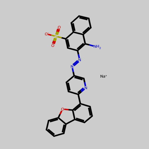 Nc1c(N=Nc2ccc(-c3cccc4c3oc3ccccc34)nc2)cc(S(=O)(=O)[O-])c2ccccc12.[Na+]